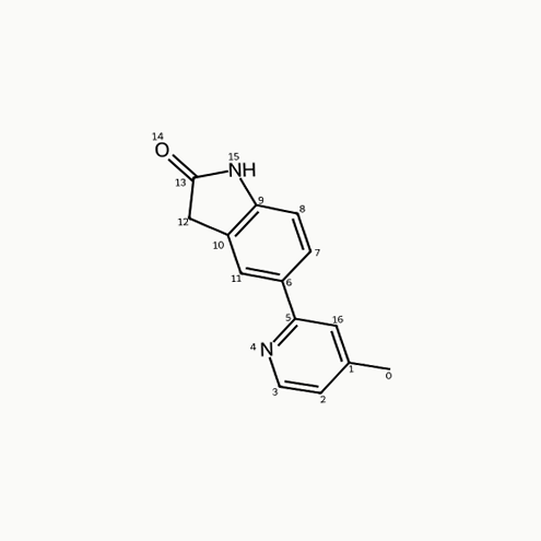 Cc1ccnc(-c2ccc3c(c2)CC(=O)N3)c1